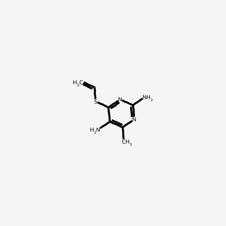 C=CSc1nc(N)nc(C)c1N